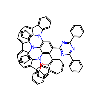 C1=CCC(c2c(-c3nc(-c4ccccc4)nc(-c4ccccc4)n3)cc(-n3c4ccccc4c4ccccc43)c(-n3c4ccccc4c4ccccc43)c2-n2c3ccccc3c3ccccc32)=c2oc3ccccc3c2=C1